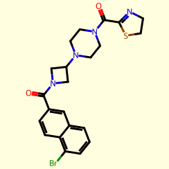 O=C(C1=NCCS1)N1CCN(C2CN(C(=O)c3ccc4c(Br)cccc4c3)C2)CC1